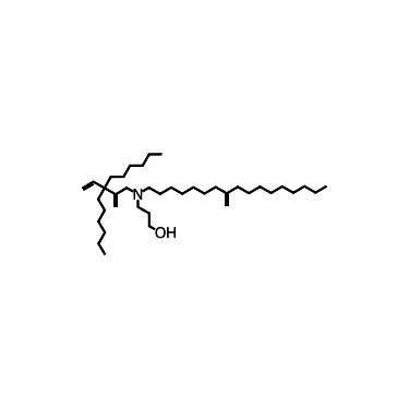 C=CC(CCCCCC)(CCCCCC)C(=C)CN(CCCO)CCCCCCCC(=C)CCCCCCCCC